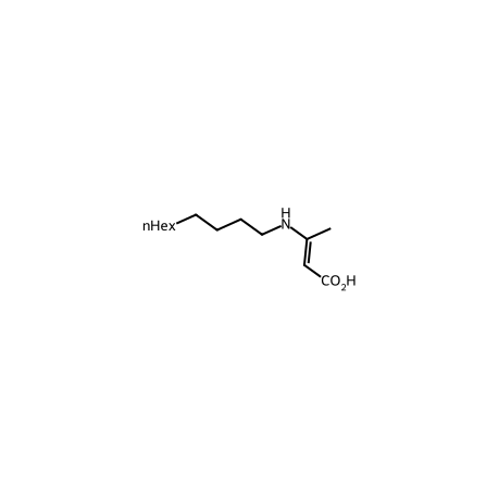 CCCCCCCCCCNC(C)=CC(=O)O